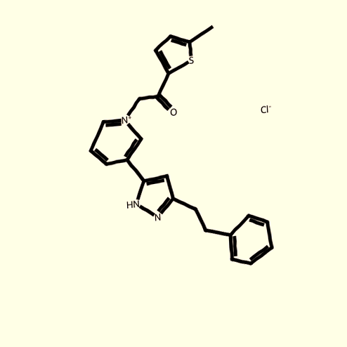 Cc1ccc(C(=O)C[n+]2cccc(-c3cc(CCc4ccccc4)n[nH]3)c2)s1.[Cl-]